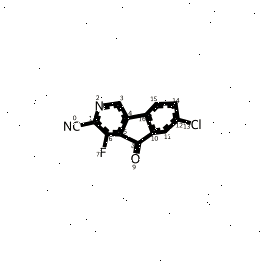 N#Cc1ncc2c(c1F)C(=O)c1cc(Cl)ccc1-2